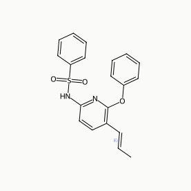 C/C=C/c1ccc(NS(=O)(=O)c2ccccc2)nc1Oc1ccccc1